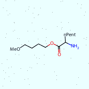 CCCCCC(N)C(=O)OCCCCOC